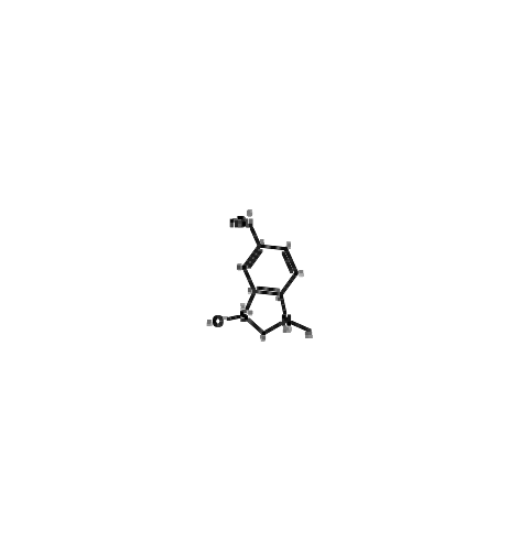 CCCCc1ccc2c(c1)[S+]([O-])CN2C